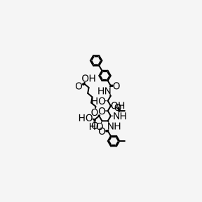 CC(=O)N[C@@H]1[C@@H](NC(=O)c2cccc(C)c2)[C@H](O)[C@](OCCCCCC(=O)O)(C(=O)O)O[C@H]1[C@H](O)[C@H](O)CNC(=O)c1ccc(-c2ccccc2)cc1